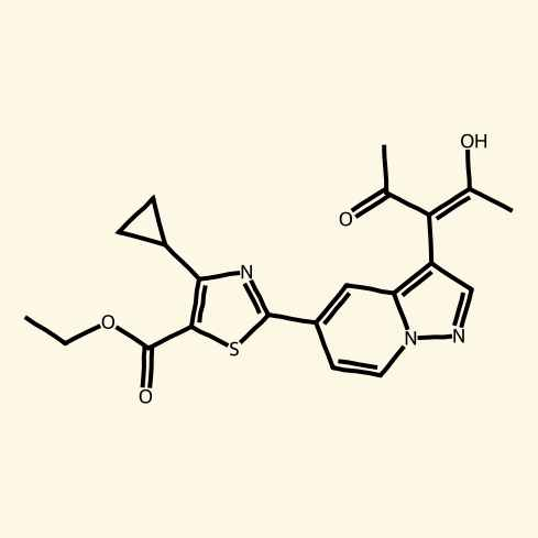 CCOC(=O)c1sc(-c2ccn3ncc(/C(C(C)=O)=C(\C)O)c3c2)nc1C1CC1